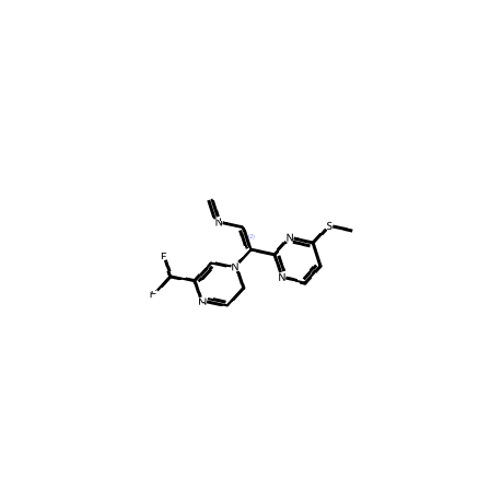 C=N/C=C(/c1nccc(SC)n1)N1C=C(C(F)F)N=CC1